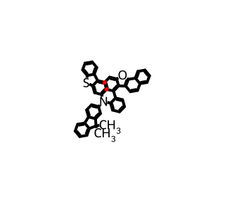 CC1(C)c2ccccc2-c2ccc(N(c3ccc4c(c3)sc3ccccc34)c3ccccc3-c3cccc4oc5c6ccccc6ccc5c34)cc21